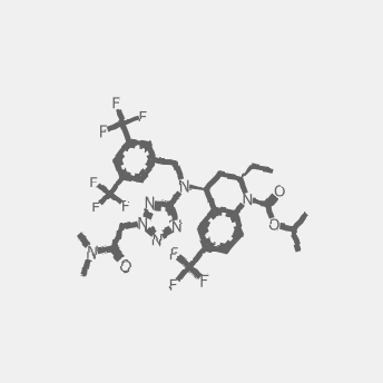 CC[C@@H]1C[C@H](N(Cc2cc(C(F)(F)F)cc(C(F)(F)F)c2)c2nnn(CC(=O)N(C)C)n2)c2cc(C(F)(F)F)ccc2N1C(=O)OC(C)C